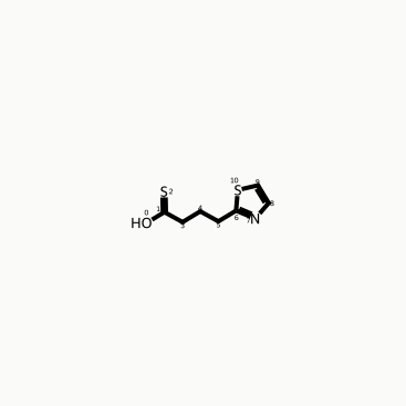 OC(=S)CCCc1nccs1